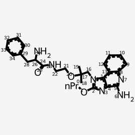 CCCOc1nc2c(N)nc3ccccc3c2n1CC(C)(C)OCCNC(=O)C(N)Cc1ccccc1